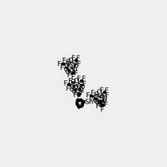 O=S(=O)([C-](S(=O)(=O)C(F)(F)F)S(=O)(=O)C(F)(F)F)C(F)(F)F.O=S(=O)([C-](S(=O)(=O)C(F)(F)F)S(=O)(=O)C(F)(F)F)C(F)(F)F.O=S(=O)([C-](S(=O)(=O)C(F)(F)F)S(=O)(=O)C(F)(F)F)C(F)(F)F.[Sn+3][c]1ccccc1